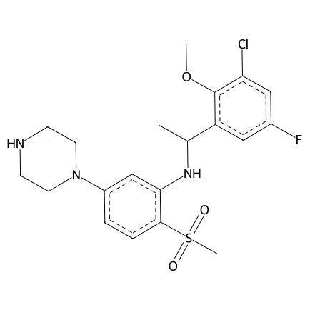 COc1c(Cl)cc(F)cc1C(C)Nc1cc(N2CCNCC2)ccc1S(C)(=O)=O